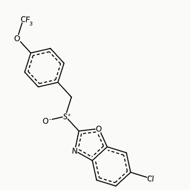 [O-][S+](Cc1ccc(OC(F)(F)F)cc1)c1nc2ccc(Cl)cc2o1